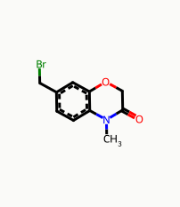 CN1C(=O)COc2cc(CBr)ccc21